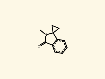 CN1C(=O)c2ccccc2C12CC2